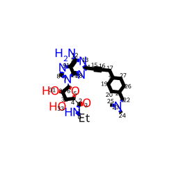 CCNC(=O)[C@H]1O[C@@H](n2cnc3c(N)nc(C#CCC4CCC(CN(C)C)CC4)nc32)C(O)[C@H]1O